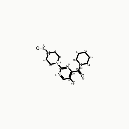 O=CN1CCN(c2ncc(F)c(C(=O)N3CCCCC3)n2)CC1